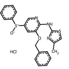 Cc1csc(Nc2ncc([S+]([O-])c3ccccc3)cc2OCc2ccccc2)n1.Cl